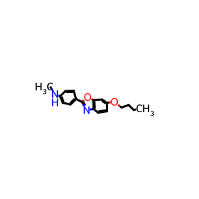 CCCCOc1ccc2nc(-c3ccc(NC)cc3)oc2c1